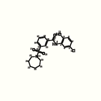 O=C(Nc1cc(Cl)ccc1O)c1cccc(S(=O)(=O)N2CCCCCC2)c1